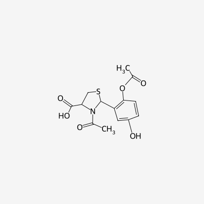 CC(=O)Oc1ccc(O)cc1C1SCC(C(=O)O)N1C(C)=O